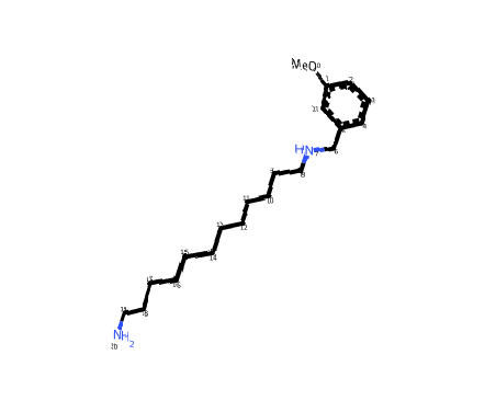 COc1cccc(CNCCCCCCCCCCCCN)c1